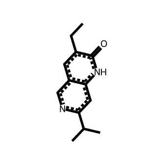 CCc1cc2cnc(C(C)C)cc2[nH]c1=O